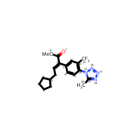 COC(=O)/C(=C/CC1CCCC1)c1ccc(-n2nnnc2C)c(C(F)(F)F)c1